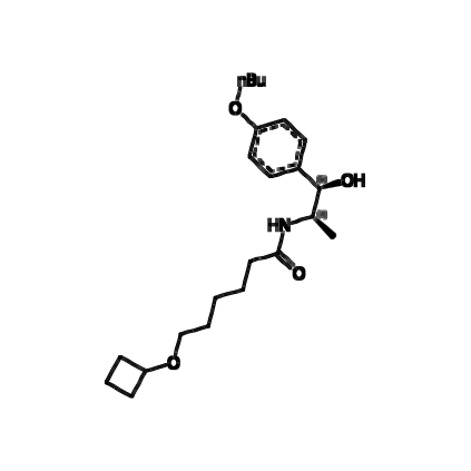 CCCCOc1ccc([C@@H](O)[C@@H](C)NC(=O)CCCCCOC2CCC2)cc1